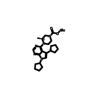 C[C@H]1CN(C(=O)OC(C)(C)C)CCN1c1ncnc2c1c(N1CCCC1)cn2C1CCCC1